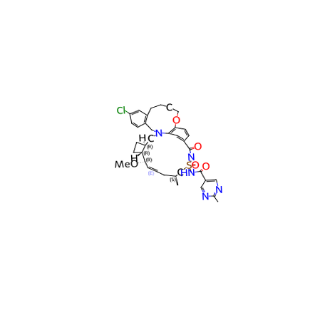 CO[C@H]1/C=C/C[C@H](C)CS(=O)(NC(=O)c2cnc(C)nc2)=NC(=O)c2ccc3c(c2)N(Cc2ccc(Cl)cc2CCCCO3)C[C@@H]2CC[C@H]21